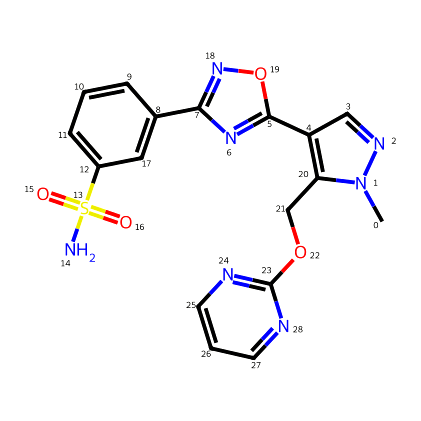 Cn1ncc(-c2nc(-c3cccc(S(N)(=O)=O)c3)no2)c1COc1ncccn1